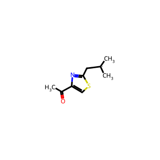 C[C](C)Cc1nc(C(C)=O)cs1